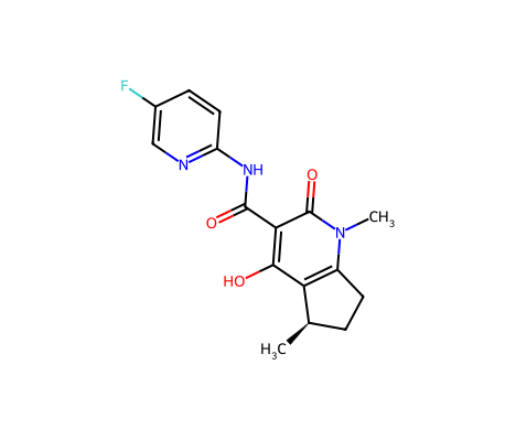 C[C@@H]1CCc2c1c(O)c(C(=O)Nc1ccc(F)cn1)c(=O)n2C